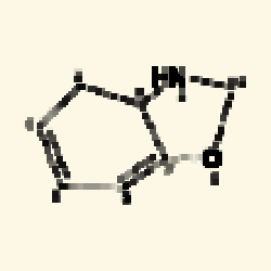 [C]1NC2CC=CC=C2O1